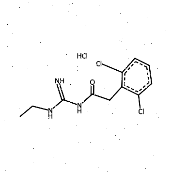 CCNC(=N)NC(=O)Cc1c(Cl)cccc1Cl.Cl